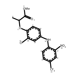 COC(=O)C(C)Oc1ccc(Nc2ccc(C(F)(F)F)cc2[N+](=O)[O-])cc1Cl